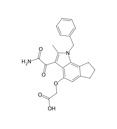 Cc1c(C(=O)C(N)=O)c2c(OCC(=O)O)cc3c(c2n1Cc1ccccc1)CCC3